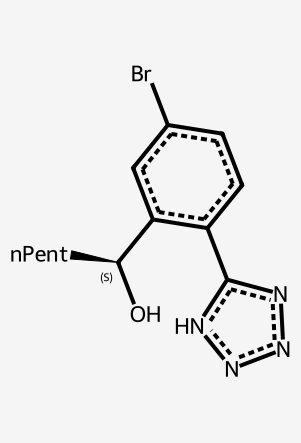 CCCCC[C@H](O)c1cc(Br)ccc1-c1nnn[nH]1